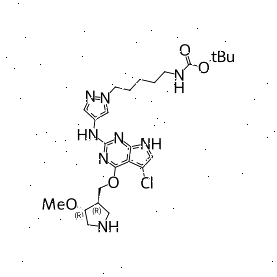 CO[C@H]1CNC[C@@H]1COc1nc(Nc2cnn(CCCCCNC(=O)OC(C)(C)C)c2)nc2[nH]cc(Cl)c12